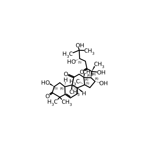 CC1(C)C(=O)[C@@H](O)C[C@@H]2C1=CC[C@@H]1[C@@]2(C)C(=O)C[C@]2(C)[C@@H]([C@@](C)(O)C(=O)C[C@H](O)C(C)(C)O)[C@H](O)C[C@@]12C